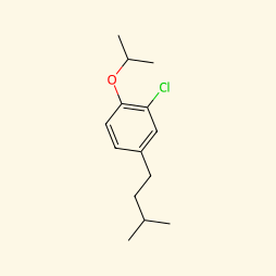 CC(C)CCc1ccc(OC(C)C)c(Cl)c1